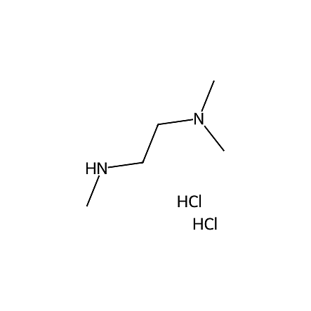 CNCCN(C)C.Cl.Cl